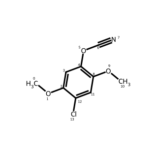 COc1cc(OC#N)c(OC)cc1Cl